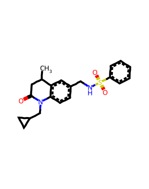 CC1CC(=O)N(CC2CC2)c2ccc(CNS(=O)(=O)c3ccccc3)cc21